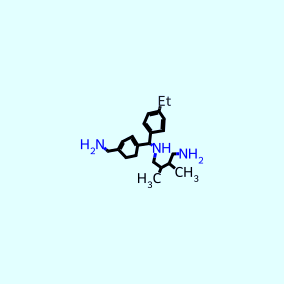 CCc1ccc(C(NCC(C)C(C)CN)C2=CC=C(CN)CC2)cc1